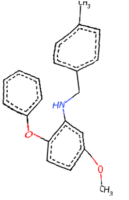 COc1ccc(Oc2ccccc2)c(NCc2ccc(C)cc2)c1